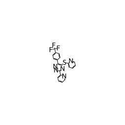 FC(F)(F)c1ccc(-c2nnc(-c3ccccn3)nc2Sc2ccccn2)cc1